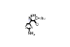 CC(C)(C)OC(=O)/C(=N\O)c1csc(N)n1